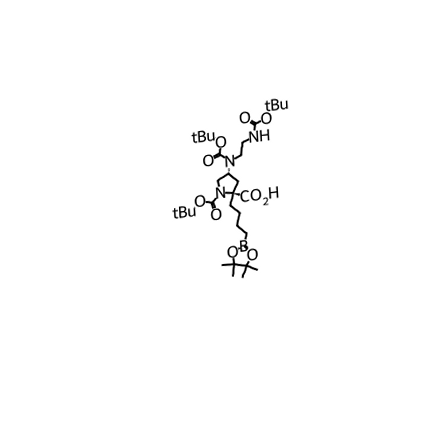 CC(C)(C)OC(=O)NCCN(C(=O)OC(C)(C)C)[C@H]1CN(C(=O)OC(C)(C)C)[C@](CCCCB2OC(C)(C)C(C)(C)O2)(C(=O)O)C1